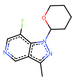 Cc1nn(C2CCCCO2)c2c(F)cncc12